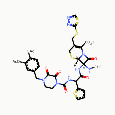 CC(=O)Oc1ccc(CN2CCN(C(=O)NC(C(=O)N[C@]3(NC=O)C(=O)N4C(C(=O)O)=C(CSc5nncs5)CS[C@H]43)c3cccs3)C(=O)C2=O)cc1OC(C)=O